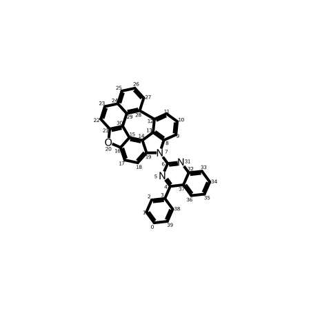 c1ccc(-c2nc(-n3c4cccc5c4c4c6c(ccc43)oc3ccc4cccc-5c4c36)nc3ccccc23)cc1